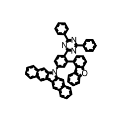 c1ccc(-c2nc(-c3ccccc3)nc(-c3ccc(-n4c5cc6ccccc6cc5c5cc6ccccc6cc54)cc3-c3cccc4oc5ccccc5c34)n2)cc1